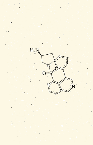 N[C@H]1CCN(S(=O)(=O)c2cccc3cncc(-c4ccccc4)c23)C1